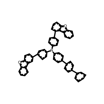 c1ccc(-c2ccc(-c3ccc(N(c4ccc(-c5ccc6oc7ccccc7c6c5)cc4)c4ccc(-c5cccc6oc7ccccc7c56)cc4)cc3)cc2)cc1